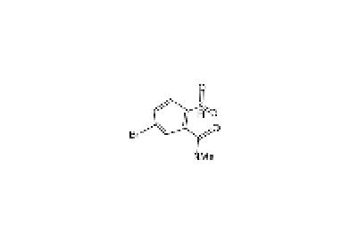 CNC(=O)c1cc(Br)ccc1[SH](=O)=O